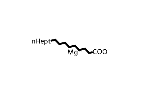 CCCCCCCCCCCCCCCC(=O)[O-].[Mg+]